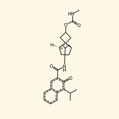 CNC(=O)OC1C[N+]2(C1)C1CC[C@@H]2CC(NC(=O)c2cc3ccccc3n(C(C)C)c2=O)C1